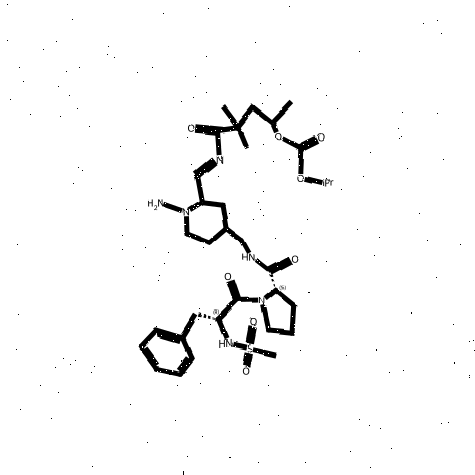 CC(C)OC(=O)OC(C)CC(C)(C)C(=O)N=CC1CC(CNC(=O)[C@@H]2CCCN2C(=O)[C@@H](Cc2ccccc2)NS(C)(=O)=O)CCN1N